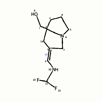 OCC12CCCN1C/C(=C\NC(F)F)C2